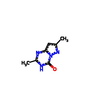 Cc1cc2nc(C)[nH]c(=O)n2n1